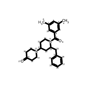 Cc1cc(C)cc(C(=O)N2CCC(N3CCC(=O)CC3)CC2Cc2ccccc2)c1